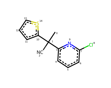 CC(C#N)(c1cccc(Cl)n1)c1cccs1